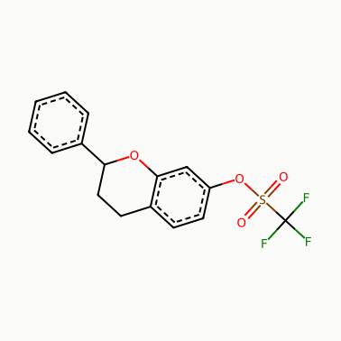 O=S(=O)(Oc1ccc2c(c1)OC(c1ccccc1)CC2)C(F)(F)F